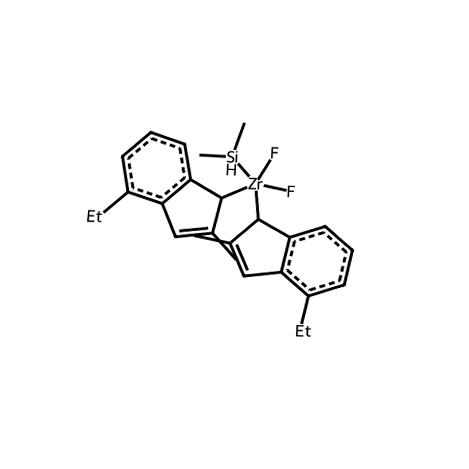 CCc1cccc2c1C=C(C)[CH]2[Zr]([F])([F])([CH]1C(C)=Cc2c(CC)cccc21)[SiH](C)C